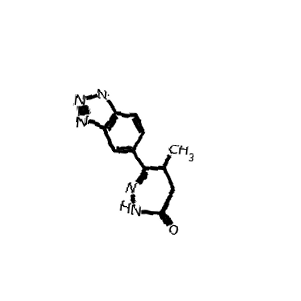 CC1CC(=O)NN=C1c1ccc2c(c1)N=N[N]2